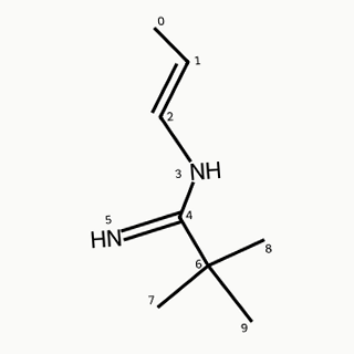 C/C=C/NC(=N)C(C)(C)C